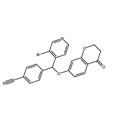 N#Cc1ccc(C(Oc2ccc3c(c2)OCCC3=O)c2ccncc2Br)cc1